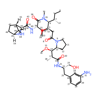 CC[C@H](C)[C@@H]([C@@H](CC(=O)N1CCC[C@H]1[C@H](OC)[C@@H](C)C(=O)N[C@H](CO)Cc1cccc(N)c1)OC)N(C)C(=O)[C@@H](NC(=O)[C@H]1N[C@H]2CC[C@H]1[C@@H]2C)C(C)C